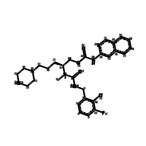 CN(C(=O)NCc1cccc(F)c1Cl)[C@@H](CCCN1CCNCC1)COC(=O)Nc1cc2ccccc2cn1